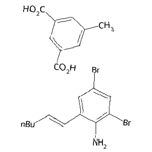 CCCCC=Cc1cc(Br)cc(Br)c1N.Cc1cc(C(=O)O)cc(C(=O)O)c1